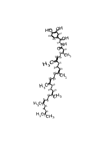 CC(C)=CCCC(C)=CCCC(C)=CCCC(C)=CCCC(C)=CCCC(C)=CCCC(C)=CC(=O)NCC(O)c1ccc(O)c(O)c1